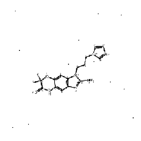 CC1(C)Oc2cc3c(cc2NC1=O)nc(N)n3CCCn1ccnc1